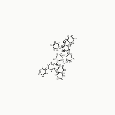 c1ccc(-c2ccc3c(c2)c2c4ccccc4ccc2n3-c2cccc3c2oc2cccc(-c4nc(-c5ccccc5)c5oc6ccccc6c5n4)c23)cc1